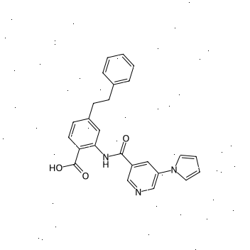 O=C(Nc1cc(CCc2ccccc2)ccc1C(=O)O)c1cncc(-n2cccc2)c1